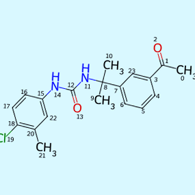 CC(=O)c1cccc(C(C)(C)NC(=O)Nc2ccc(Cl)c(C)c2)c1